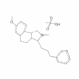 COc1ccc2c(c1)CCC1C2CN(C)C1CCCc1ccccc1.CS(=O)(=O)O